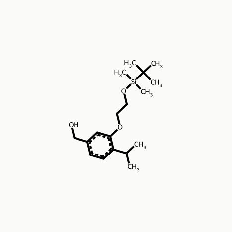 CC(C)c1ccc(CO)cc1OCCO[Si](C)(C)C(C)(C)C